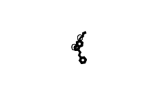 C=CCOc1ccc2c(CCc3ccccc3)coc2c1